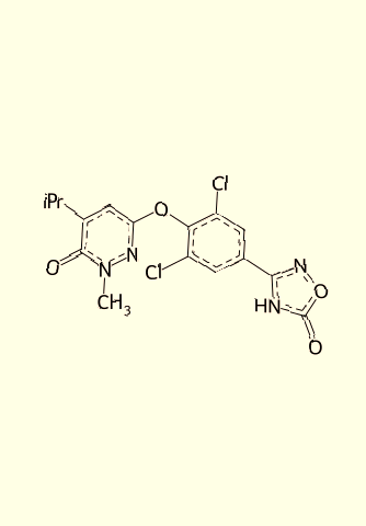 CC(C)c1cc(Oc2c(Cl)cc(-c3noc(=O)[nH]3)cc2Cl)nn(C)c1=O